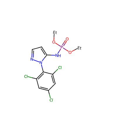 CCOP(=O)(Nc1ccnn1-c1c(Cl)cc(Cl)cc1Cl)OCC